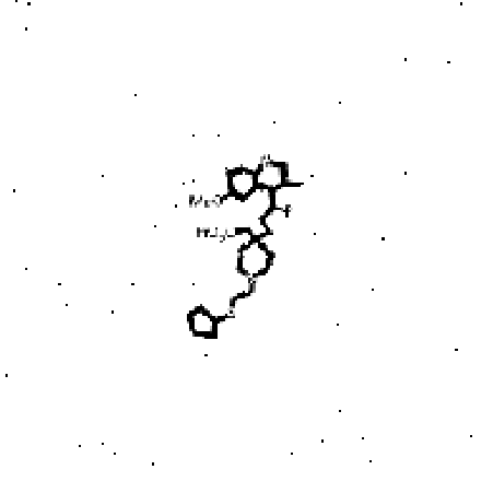 COc1ccc2ncc(C)c([C@@H](F)CCC3(CC(=O)O)CCN(CCSC4CCCC4)CC3)c2c1